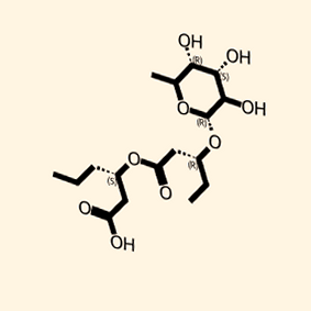 CCC[C@@H](CC(=O)O)OC(=O)C[C@@H](CC)O[C@@H]1OC(C)[C@H](O)[C@H](O)C1O